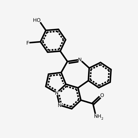 NC(=O)c1cnn2ccc3c2c1-c1ccccc1N=C3c1ccc(O)c(F)c1